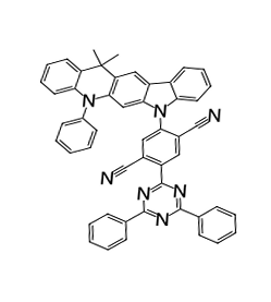 CC1(C)c2ccccc2N(c2ccccc2)c2cc3c(cc21)c1ccccc1n3-c1cc(C#N)c(-c2nc(-c3ccccc3)nc(-c3ccccc3)n2)cc1C#N